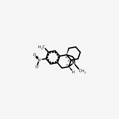 Cc1cc2c(cc1[N+](=O)[O-])C[C@@H]1[C@@H]3CCCC[C@]23CCN1C